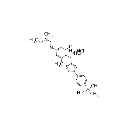 CCN(C)C=Nc1cc(C)c(Cc2nc(-c3ccc(C(C)(C)C)cc3)cs2)c(C)c1.Cl.Cl